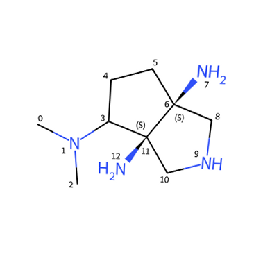 CN(C)C1CC[C@]2(N)CNC[C@]12N